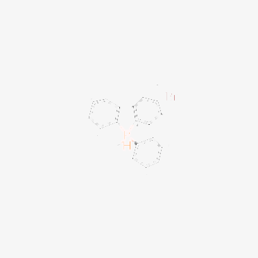 CBr.C[PH](c1ccccc1)(c1ccccc1)c1ccccc1